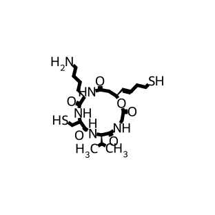 CC(C)[C@H]1NC(=O)C(CS)NC(=O)[C@@H](CCCCN)NC(=O)C[C@@H](/C=C/CCS)OC(=O)CNC1=O